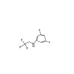 Fc1cc(I)cc(NCC(F)(F)F)c1